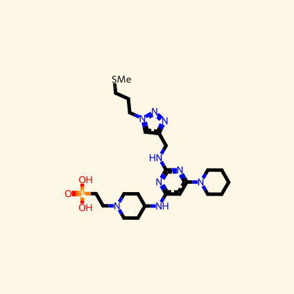 CSCCCn1cc(CNc2nc(NC3CCN(CCP(=O)(O)O)CC3)cc(N3CCCCC3)n2)nn1